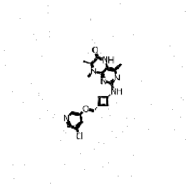 Cc1nc(N[C@H]2C[C@@H](COc3cncc(Cl)c3)C2)nc2c1NC(=O)[C@H](C)N2C